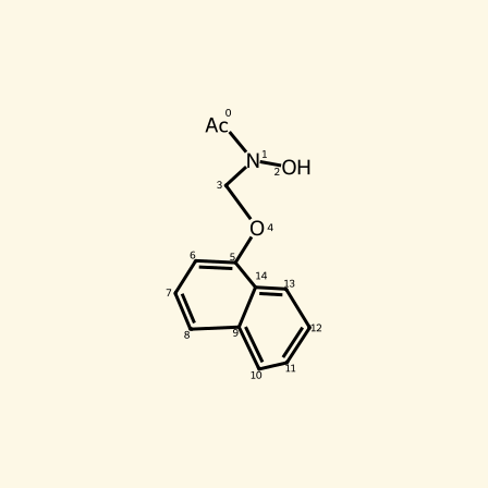 CC(=O)N(O)COc1cccc2ccccc12